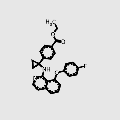 CCOC(=O)c1ccc(C2(Nc3nccc4cccc(Oc5ccc(F)cc5)c34)CC2)cc1